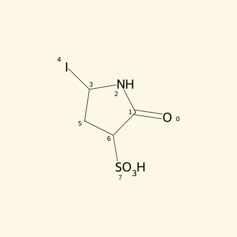 O=C1NC(I)CC1S(=O)(=O)O